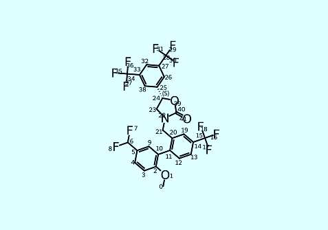 COc1ccc(C(F)F)cc1-c1ccc(C(F)(F)F)cc1CN1C[C@H](c2cc(C(F)(F)F)cc(C(F)(F)F)c2)OC1=O